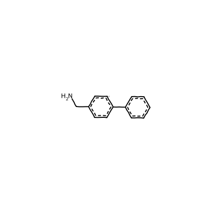 NCc1c[c]c(-c2ccccc2)cc1